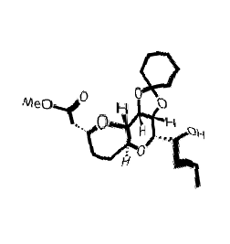 C/C=C/C(O)[C@@H]1O[C@H]2CC[C@H](CC(=O)OC)O[C@@H]2[C@@H]2OC3(CCCCC3)O[C@@H]21